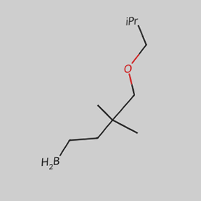 BCCC(C)(C)COCC(C)C